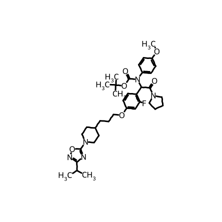 COc1ccc(N(C(=O)OC(C)(C)C)C(C(=O)N2CCCC2)c2ccc(OCCCC3CCN(c4nc(C(C)C)no4)CC3)cc2F)cc1